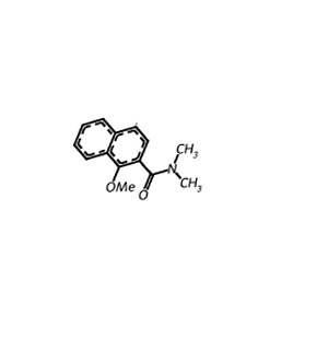 COc1c(C(=O)N(C)C)c[c]c2ccccc12